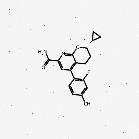 Cc1ccc(-c2cc(C(N)=O)nc3c2CC[C@@H](C2CC2)O3)c(F)c1